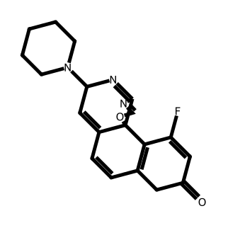 O=C1C=C(F)C2=C(C=CC3=CC(N4CCCCC4)N=C4N=COC342)C1